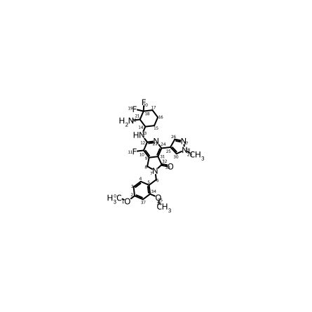 COc1ccc(CN2Cc3c(F)c(NC4CCCC(F)(F)C4N)nc(-c4cnn(C)c4)c3C2=O)c(OC)c1